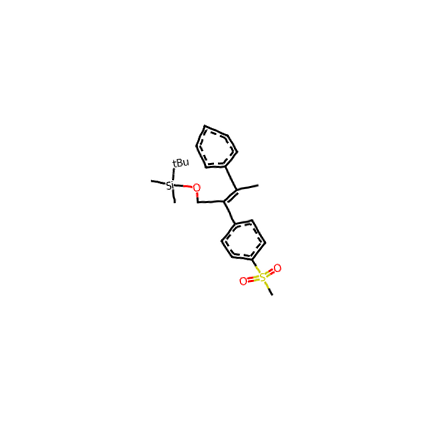 C/C(=C(/CO[Si](C)(C)C(C)(C)C)c1ccc(S(C)(=O)=O)cc1)c1ccccc1